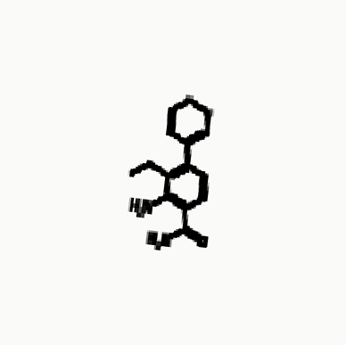 CCc1c(C2=C[C][C]C=C2)ccc(C(N)=O)c1N